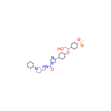 CS(=O)(=O)c1ccc(C(CO)Oc2ccc(-c3cn(C(=O)NCC4CCN(c5ccccc5)C4)cn3)cc2)cc1